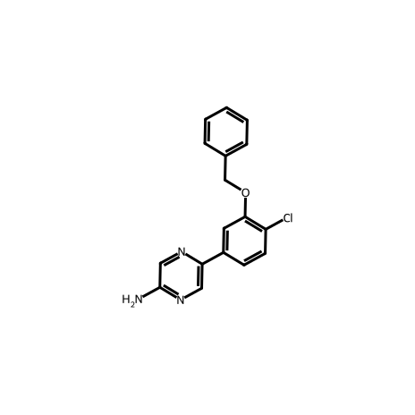 Nc1cnc(-c2ccc(Cl)c(OCc3ccccc3)c2)cn1